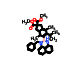 COC(=O)C1(C(=O)OC)Cc2c(C)c(B3Nc4cccc5cccc(c45)N3Cc3ccccc3)c(C(C)C)c(C)c2C1